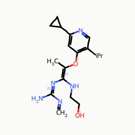 C=N/C(N)=N\C(NCCO)=C(/C)Oc1cc(C2CC2)ncc1C(C)C